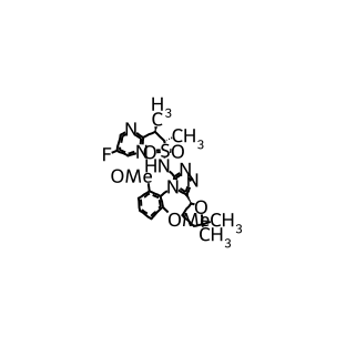 COc1cccc(OC)c1-n1c(NS(=O)(=O)[C@@H](C)[C@H](C)c2ncc(F)cn2)nnc1[C@@H]1CCC(C)(C)O1